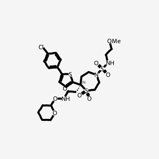 COCCNS(=O)(=O)N1CC[C@](CC(=O)NOC2CCCCO2)(c2ccc(-c3ccc(Cl)cc3)s2)S(=O)(=O)CC1